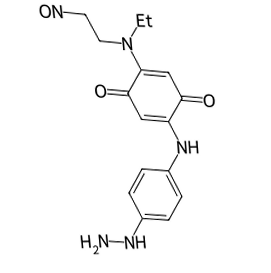 CCN(CCN=O)C1=CC(=O)C(Nc2ccc(NN)cc2)=CC1=O